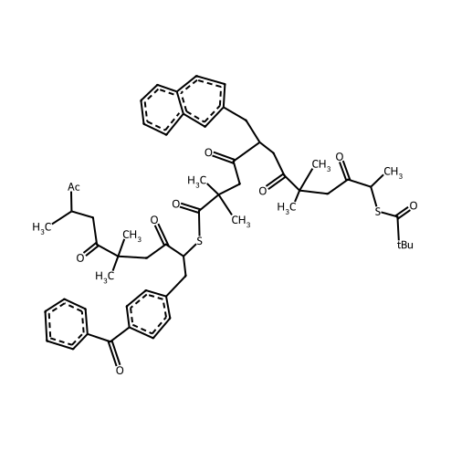 CC(=O)C(C)CC(=O)C(C)(C)CC(=O)C(Cc1ccc(C(=O)c2ccccc2)cc1)SC(=O)C(C)(C)CC(=O)C(CC(=O)C(C)(C)CC(=O)C(C)SC(=O)C(C)(C)C)Cc1ccc2ccccc2c1